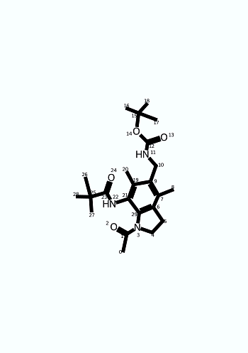 CC(=O)N1CCc2c(C)c(CNC(=O)OC(C)(C)C)c(C)c(NC(=O)C(C)(C)C)c21